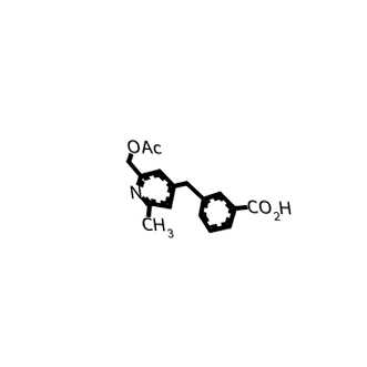 CC(=O)OCc1cc(Cc2cccc(C(=O)O)c2)cc(C)n1